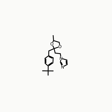 CC1COC(CCn2ccnc2)(Cc2ccc(C(C)(C)C)cc2)O1